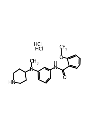 CN(c1cccc(NC(=O)c2ccccc2OC(F)(F)F)c1)C1CCNCC1.Cl.Cl